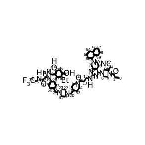 C=CC(=O)N1CCN(c2nc(NCCC(=O)N3CCC(CN4CCN(Cc5ccc(-n6c(C(=O)NCC(F)(F)F)nnc6-c6cc(CC)c(O)cc6O)cc5)CC4)CC3)nc3c2CCN(c2cccc4ccccc24)C3)CC1CC#N